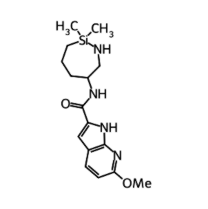 COc1ccc2cc(C(=O)NC3CCC[Si](C)(C)NC3)[nH]c2n1